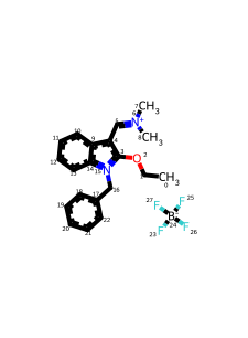 CCOc1c(C=[N+](C)C)c2ccccc2n1Cc1ccccc1.F[B-](F)(F)F